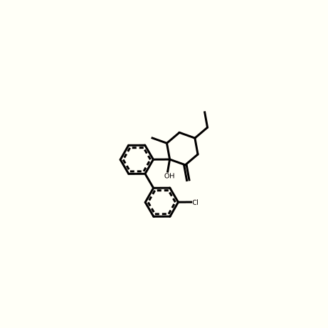 C=C1CC(CC)CC(C)C1(O)c1ccccc1-c1cccc(Cl)c1